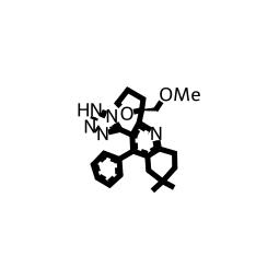 COC[C@]1(c2nc3c(c(-c4ccccc4)c2-c2nn[nH]n2)CC(C)(C)CC3)CCCO1